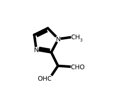 Cn1ccnc1C(C=O)C=O